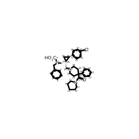 CN(Cc1ccccc1)C(=O)O.O=C(N1CCCCC1)C1(c2ccccc2)CCN(C[C@@H]2C[C@@H]2c2ccc(Cl)cc2)CC1